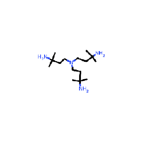 CC(C)(N)CCN(CCC(C)(C)N)CCC(C)(C)N